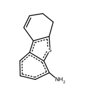 Nc1cccc2c3c(sc12)CCC=C3